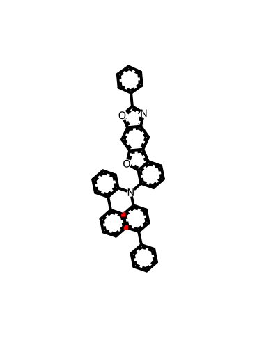 c1ccc(-c2ccc(N(c3ccccc3-c3ccccc3)c3cccc4c3oc3cc5oc(-c6ccccc6)nc5cc34)cc2)cc1